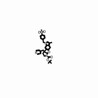 Cc1cn(Cc2ccc(S(C)(=O)=O)cc2)c2cc(C3(Cc4ccncc4)CCN(C(=O)OC(C)(C)C)C3=O)ccc12